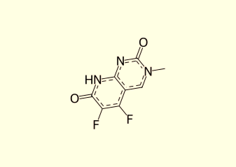 Cn1cc2c(F)c(F)c(=O)[nH]c2nc1=O